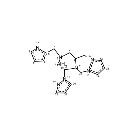 CC(C[N]([AlH2])Cn1cccn1)N(Cn1cccn1)Cn1cccn1